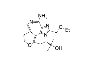 CCOCc1nc2c3n1[C@@H](C(C)(C)O)CC1=C3C(=CN=C2N)C=CO1